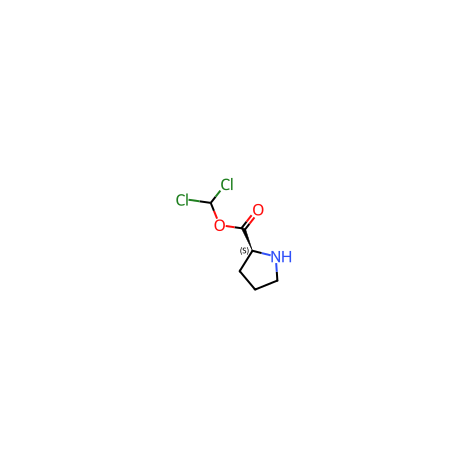 O=C(OC(Cl)Cl)[C@@H]1CCCN1